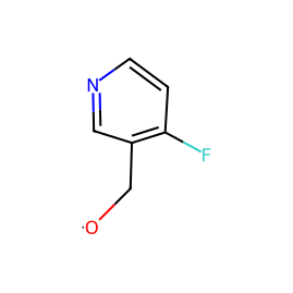 [O]Cc1cnccc1F